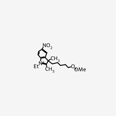 CC[N+]1=C(C)C(C)(CCCCCOOC)c2cc([N+](=O)[O-])ccc21